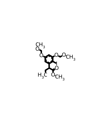 CCC(C(=O)OC)c1cc(OCOC)cc(OCOC)c1I